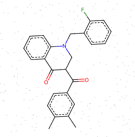 Cc1ccc(C(=O)C2CN(Cc3ccccc3F)c3ccccc3C2=O)cc1C